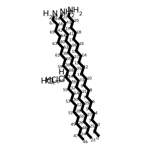 CCCCCCCCCCCCCCCCCCCCCCN.CCCCCCCCCCCCCCCCCCCCCCN.CCCCCCCCCCCCCCCCCCCCCCN.Cl.Cl.Cl